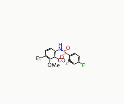 CCc1ccc(NS(=O)(=O)c2ccc(F)cc2)c(C(=O)O)c1OC